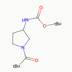 CC(C)(C)OC(=O)NC1CCN(C(=O)C(C)(C)C)C1